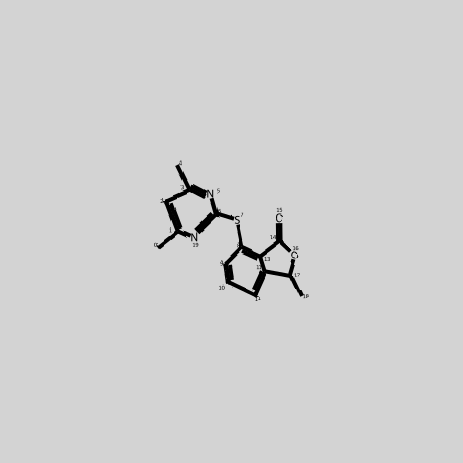 Cc1cc(C)nc(Sc2cccc3c2C(=O)OC3C)n1